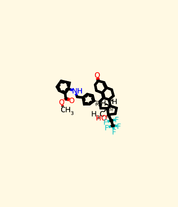 COC(=O)c1ccccc1NCc1ccc([C@H]2C[C@@]3(C)[C@@H](CC[C@@]3(O)C(F)(F)C(F)(F)F)[C@@H]3CCC4=CC(=O)CCC4=C32)cc1